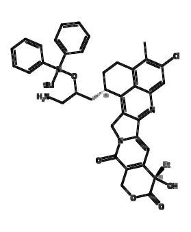 CC[C@@]1(O)C(=O)OCc2c1cc1n(c2=O)Cc2c-1nc1cc(Cl)c(C)c3c1c2[C@H](CC(CN)O[Si](c1ccccc1)(c1ccccc1)C(C)(C)C)CC3